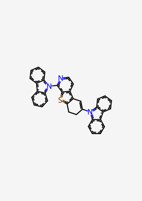 C1=C(n2c3ccccc3c3ccccc32)CCc2sc3c(-n4c5ccccc5c5ccccc54)nccc3c21